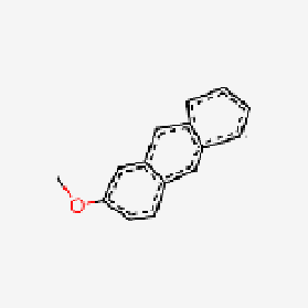 COc1ccc2cc3[c]cccc3cc2c1